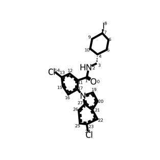 O=C(NC[C@H]1CC[C@H](I)CC1)c1cc(Cl)ccc1-n1ccc2cc(Cl)ccc21